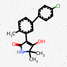 Cc1ccc(-c2ccc(Cl)cc2)cc1C1=C(O)C(C)(C)NC1=O